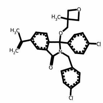 C=C(C)c1ccc2c(c1)C(=O)N(Cc1ccc(Cl)cc1)C2(OCC1(C)COC1)c1ccc(Cl)cc1